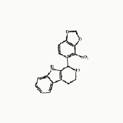 O=[N+]([O-])c1c(C2NCCc3c2[nH]c2ccccc32)ccc2c1OCO2